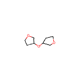 C1CC(OC2CCOC2)CO1